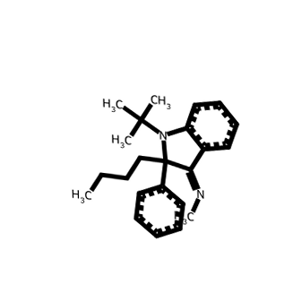 CCCCC1(c2ccccc2)/C(=N\C)c2ccccc2N1C(C)(C)C